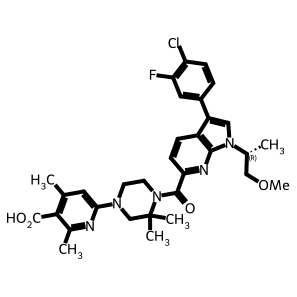 COC[C@@H](C)n1cc(-c2ccc(Cl)c(F)c2)c2ccc(C(=O)N3CCN(c4cc(C)c(C(=O)O)c(C)n4)CC3(C)C)nc21